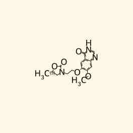 COc1cc2nc[nH]c(=O)c2cc1OCCN1C[C@H](C)OC1=O